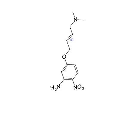 CN(C)C/C=C/COc1ccc([N+](=O)[O-])c(N)c1